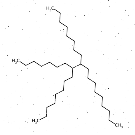 CCCCCCCCC[C](CCCCCCCC)C(CCCCCCC)CCCCCCCC